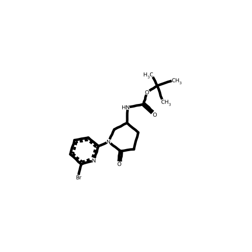 CC(C)(C)OC(=O)NC1CCC(=O)N(c2cccc(Br)n2)C1